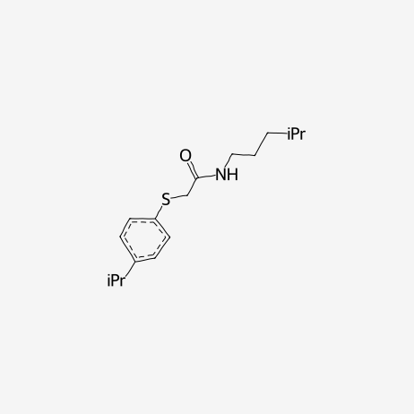 CC(C)CCCNC(=O)CSc1ccc(C(C)C)cc1